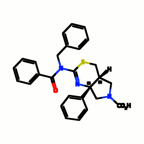 O=C(O)N1C[C@H]2CSC(N(Cc3ccccc3)C(=O)c3ccccc3)=N[C@@]2(c2ccccc2)C1